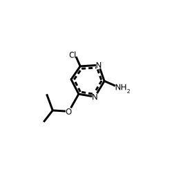 CC(C)Oc1cc(Cl)nc(N)n1